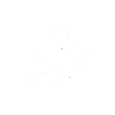 C=C(Nc1cc(F)cc(CC)c1CCC)NC1CCN(C)[C@@H](c2nc3ccccc3[nH]2)C1